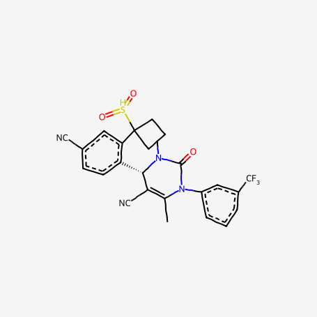 CC1=C(C#N)[C@H](c2ccc(C#N)cc2C2([SH](=O)=O)CCC2)N(C)C(=O)N1c1cccc(C(F)(F)F)c1